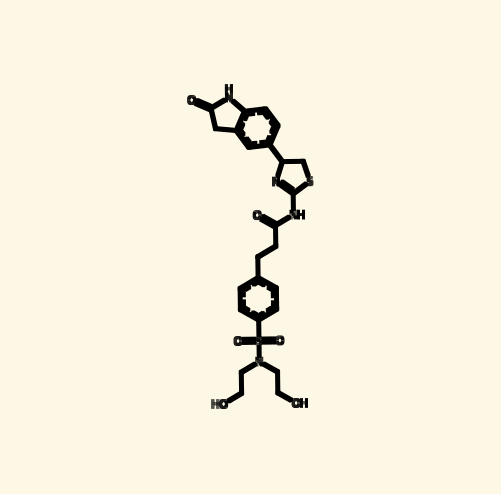 O=C(CCc1ccc(S(=O)(=O)N(CCO)CCO)cc1)NC1=NC(c2ccc3c(c2)CC(=O)N3)CS1